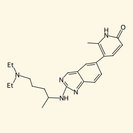 CCN(CC)CCCC(C)Nc1ncc2cc(-c3ccc(=O)[nH]c3C)ccc2n1